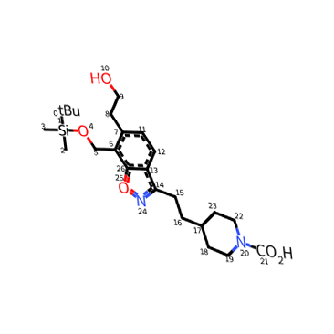 CC(C)(C)[Si](C)(C)OCc1c(CCO)ccc2c(CCC3CCN(C(=O)O)CC3)noc12